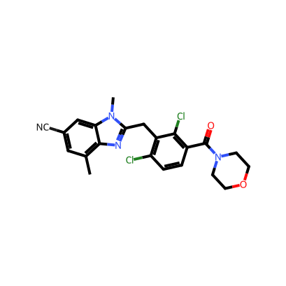 Cc1cc(C#N)cc2c1nc(Cc1c(Cl)ccc(C(=O)N3CCOCC3)c1Cl)n2C